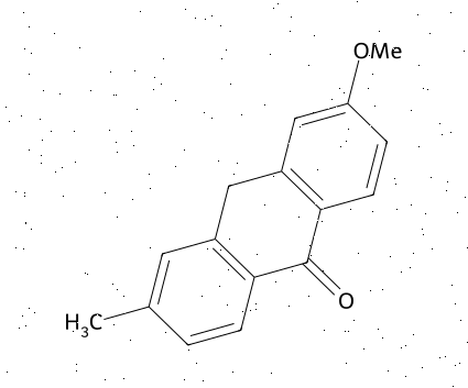 COc1ccc2c(c1)Cc1cc(C)ccc1C2=O